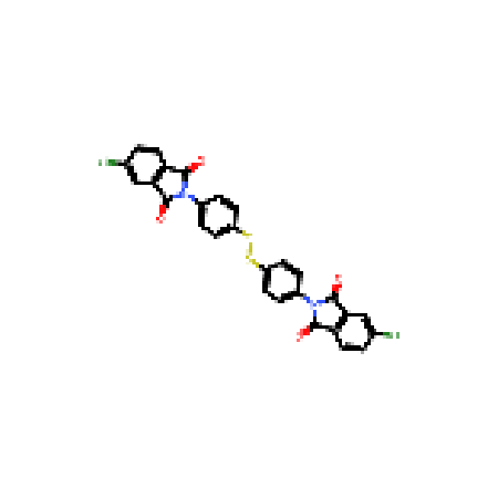 O=C1c2ccc(Cl)cc2C(=O)N1c1ccc(SSc2ccc(N3C(=O)c4ccc(Cl)cc4C3=O)cc2)cc1